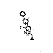 C[C@H]1CN(c2ccn3c(CC4CC4)nnc3c2Cl)CC[C@H]1c1ccccc1